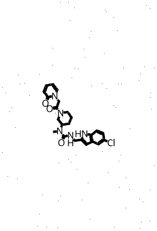 CN(C(=O)NCc1cc2cc(Cl)ccc2[nH]1)C1CCCN(C(=O)Cn2ccccc2=O)C1